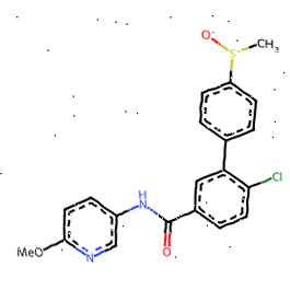 COc1ccc(NC(=O)c2ccc(Cl)c(-c3ccc([S+](C)[O-])cc3)c2)cn1